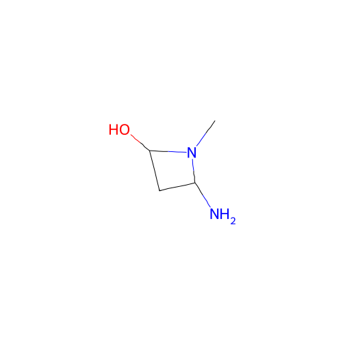 CN1C(N)CC1O